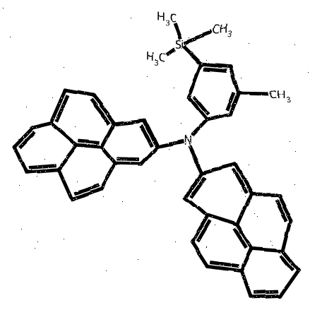 Cc1cc(N(c2cc3ccc4cccc5ccc(c2)c3c45)c2cc3ccc4cccc5ccc(c2)c3c45)cc([Si](C)(C)C)c1